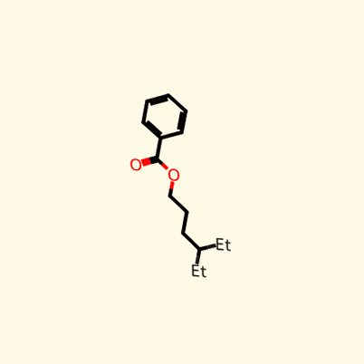 CCC(CC)CCCOC(=O)c1ccccc1